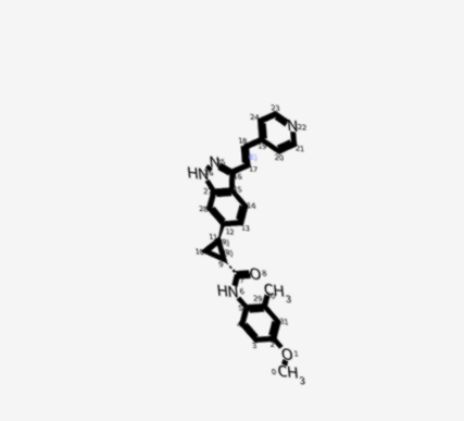 COc1ccc(NC(=O)[C@@H]2C[C@H]2c2ccc3c(/C=C/c4ccncc4)n[nH]c3c2)c(C)c1